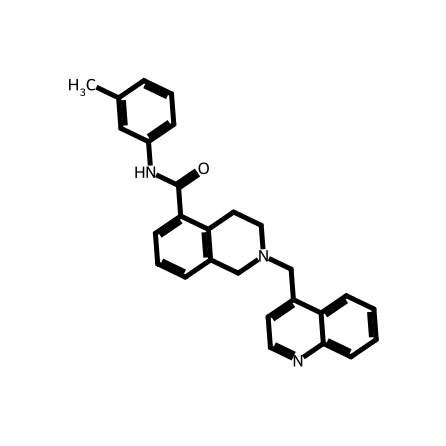 Cc1cccc(NC(=O)c2cccc3c2CCN(Cc2ccnc4ccccc24)C3)c1